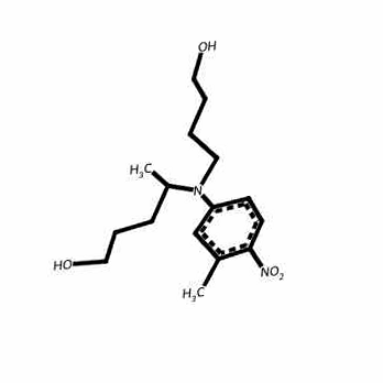 Cc1cc(N(CCCCO)C(C)CCCO)ccc1[N+](=O)[O-]